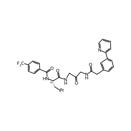 CC(C)C[C@H](NC(=O)c1ccc(C(F)(F)F)cc1)C(=O)NCC(=O)CNC(=O)Cc1cccc(-c2ccccn2)c1